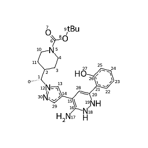 C[C@H](C1CCN(C(=O)OC(C)(C)C)CC1)n1cc(C2=C(N)NNC(c3ccccc3O)=C2)cn1